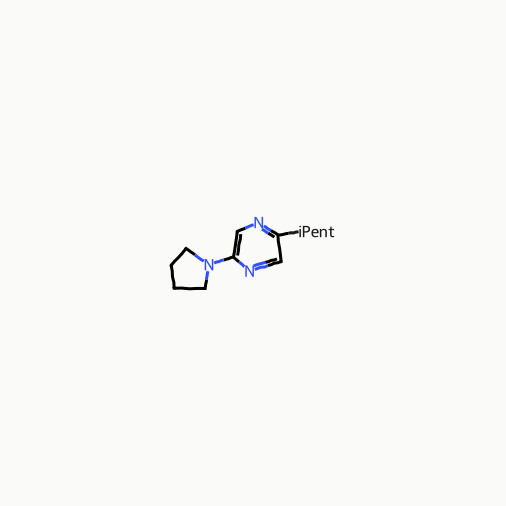 CCCC(C)c1cnc(N2CCCC2)cn1